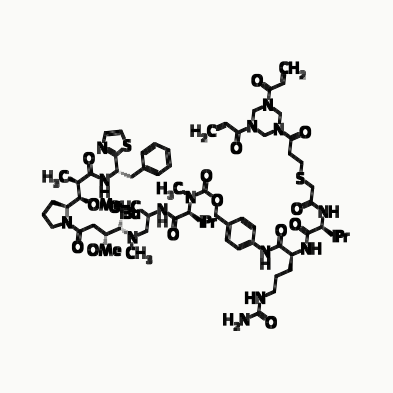 C=CC(=O)N1CN(C(=O)C=C)CN(C(=O)CCSCC(=O)N[C@H](C(=O)N[C@@H](CCCNC(N)=O)C(=O)Nc2ccc(COC(=O)N(C)[C@H](C(=O)NC(C=O)CN(C)[C@@H]([C@@H](C)CC)[C@@H](CC(=O)N3CCC[C@H]3[C@H](OC)[C@@H](C)C(=O)N[C@@H](Cc3ccccc3)c3nccs3)OC)C(C)C)cc2)C(C)C)C1